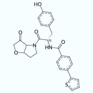 O=C(N[C@@H](Cc1ccc(O)cc1)C(=O)N1CCC2OCC(=O)C21)c1ccc(-c2cccs2)cc1